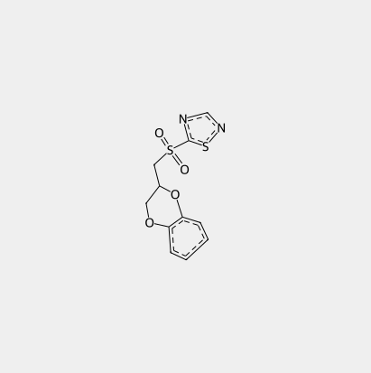 O=S(=O)(CC1COc2ccccc2O1)c1ncns1